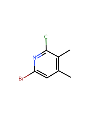 Cc1cc(Br)nc(Cl)c1C